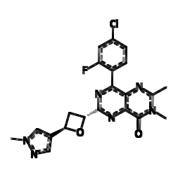 Cc1nc2c(-c3ccc(Cl)cc3F)nc([C@H]3C[C@H](c4cnn(C)c4)O3)nc2c(=O)n1C